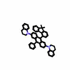 CC1(C)c2ccccc2-c2c(-c3c4ccc(N5CCCc6ccccc65)cc4c(-c4ccccc4)c4ccc(N5CCCc6ccccc65)cc34)cccc21